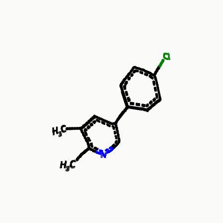 Cc1cc(-c2ccc(Cl)cc2)cnc1C